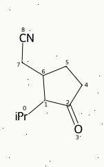 CC(C)C1C(=O)CCC1CC#N